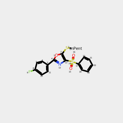 CCCCCSc1oc(-c2ccc(F)cc2)nc1S(=O)(=O)c1ccccc1